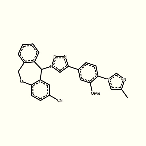 COc1cc(-c2cn(C3c4ccccc4COc4ccc(C#N)cc43)nn2)ccc1-n1cnc(C)c1